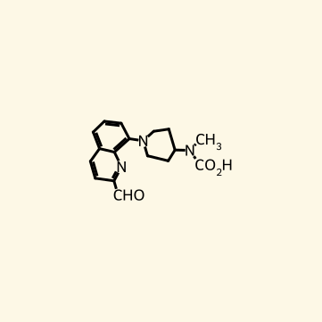 CN(C(=O)O)C1CCN(c2cccc3ccc(C=O)nc23)CC1